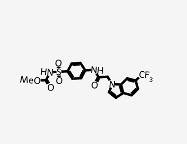 COC(=O)NS(=O)(=O)c1ccc(NC(=O)Cn2ccc3ccc(C(F)(F)F)cc32)cc1